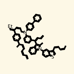 C=C/C=C\C=C/C(C)c1ccc(C(/C=C\CN(c2ccc(-c3ccccc3)cc2)c2cccc(/C(=C/C=C)c3c(C)n(-c4ccc5scc(/C=C\C=C/C)c5c4)c4ccccc34)c2)=C/CC)cc1